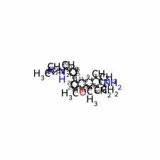 C=C(N)C1=C(C)C(C)C2CC3Cc4c(-c5cccc(C(=C)NCCN(C)C)c5)ccc(C)c4C(=O)C3=C(C)C2C1=C